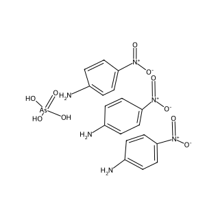 Nc1ccc([N+](=O)[O-])cc1.Nc1ccc([N+](=O)[O-])cc1.Nc1ccc([N+](=O)[O-])cc1.O=[As](O)(O)O